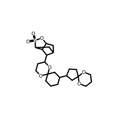 O=S1(=O)OC2CC3CC1C2C3C1CCOC2(CCCC(C3CCC4(C3)OCCCO4)C2)O1